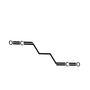 O=C=CCCC=C=O